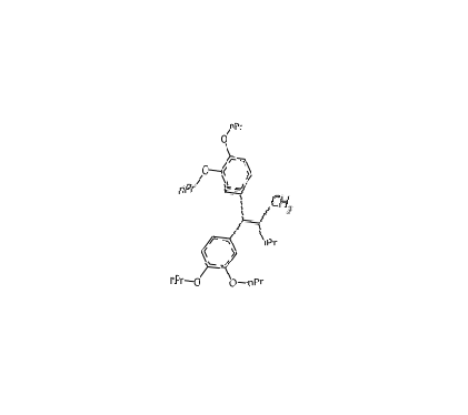 CCCOc1ccc(C(c2ccc(OCCC)c(OCCC)c2)C(C)C(C)C)cc1OCCC